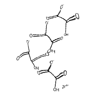 O=C([O-])C(=O)O.O=C([O-])C(=O)O.O=C([O-])C(=O)O.O=C([O-])C(=O)O.[Zr+4]